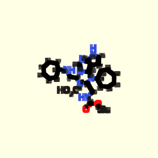 CC(C)(C)OC(=O)NCC(N(CCNC1CCCCCC1)C(=O)O)N(c1ncnc2[nH]ccc12)C1CCCCCC1